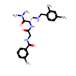 Cc1ccc(CNC[C@H](NC(=O)CNC(=O)c2cccc(C(F)(F)F)c2)C(=O)N(C)C)c(C)c1